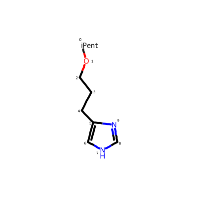 CCCC(C)OCCCc1c[nH]cn1